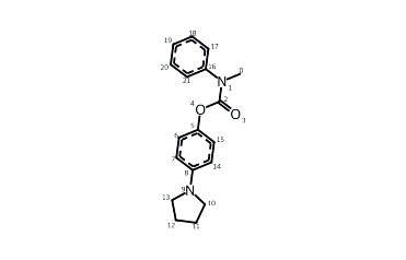 CN(C(=O)Oc1ccc(N2CCCC2)cc1)c1ccccc1